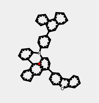 c1ccc(N(c2ccc(-c3ccc4oc5ccccc5c4c3)cc2)c2ccc(-c3cc4ccccc4c4ccccc34)cc2)c(-c2cccc3ccccc23)c1